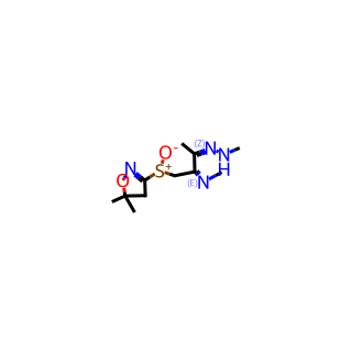 C/N=C(C[S+]([O-])C1=NOC(C)(C)C1)\C(C)=N/NC